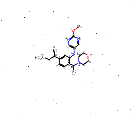 CCOc1ncc(Nc2cc(C(CC)CC(=O)O)ccc2C(CC)N2CCOCC2)cn1